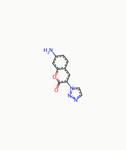 Nc1ccc2cc(-n3ccnn3)c(=O)oc2c1